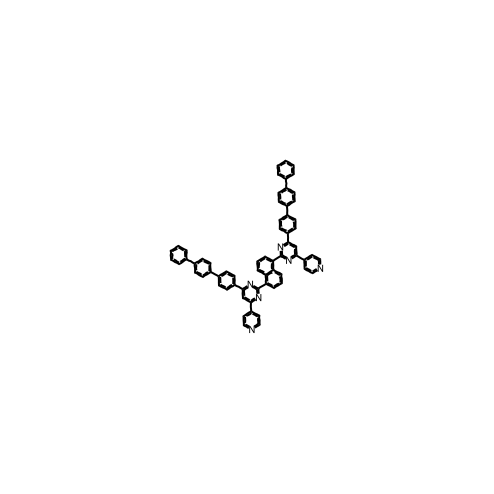 c1ccc(-c2ccc(-c3ccc(-c4cc(-c5ccncc5)nc(-c5cccc6c(-c7nc(-c8ccncc8)cc(-c8ccc(-c9ccc(-c%10ccccc%10)cc9)cc8)n7)cccc56)n4)cc3)cc2)cc1